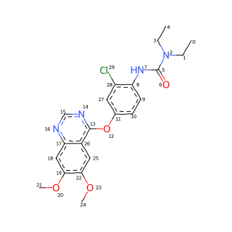 CCN(CC)C(=O)Nc1ccc(Oc2ncnc3cc(OC)c(OC)cc23)cc1Cl